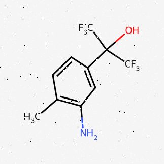 Cc1ccc(C(O)(C(F)(F)F)C(F)(F)F)cc1N